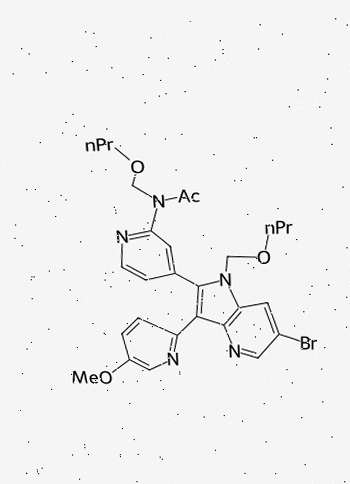 CCCOCN(C(C)=O)c1cc(-c2c(-c3ccc(OC)cn3)c3ncc(Br)cc3n2COCCC)ccn1